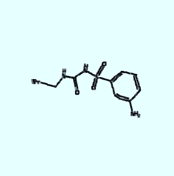 CC(C)CNC(=O)NS(=O)(=O)c1cccc(N)c1